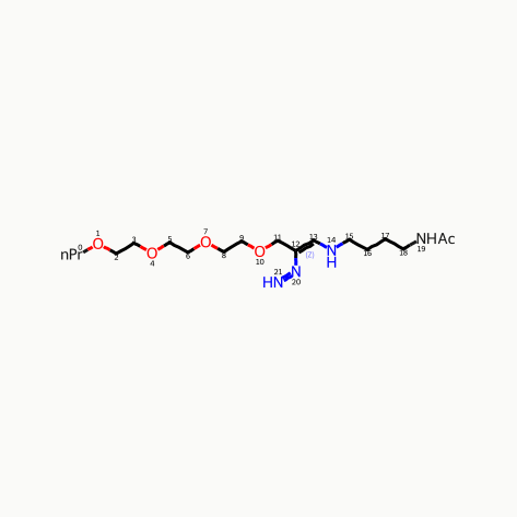 CCCOCCOCCOCCOC/C(=C/NCCCCNC(C)=O)N=N